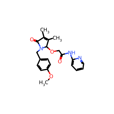 COc1ccc(CN2C(=O)C(C)=C(C)C2OCC(=O)Nc2ccccn2)cc1